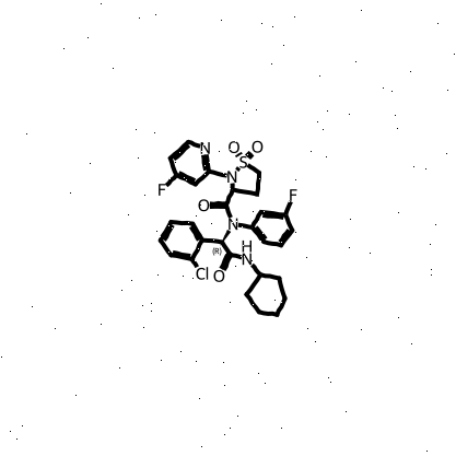 O=C(NC1CCCCC1)[C@@H](c1ccccc1Cl)N(C(=O)C1CCS(=O)(=O)N1c1cc(F)ccn1)c1cccc(F)c1